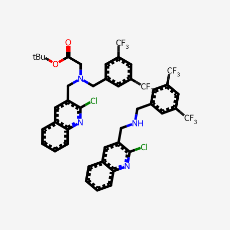 CC(C)(C)OC(=O)CN(Cc1cc(C(F)(F)F)cc(C(F)(F)F)c1)Cc1cc2ccccc2nc1Cl.FC(F)(F)c1cc(CNCc2cc3ccccc3nc2Cl)cc(C(F)(F)F)c1